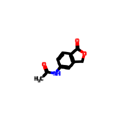 CC(=O)Nc1ccc2c(c1)COC2=O